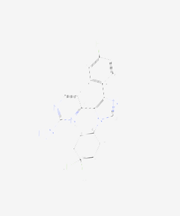 Nc1nccc(-c2c(-c3ccc(F)cc3)ncn2C2CCC(F)(F)CC2)n1